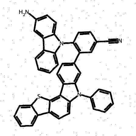 N#Cc1ccc(-n2c3ccccc3c3cc(N)ccc32)c(-c2ccc3c4c5sc6ccccc6c5ccc4n(-c4ccccc4)c3c2)c1